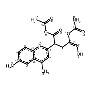 Cc1cc(C(C/C(=N\O)OC(N)=O)C(=O)OC(N)=O)nc2ccc(N)cc12